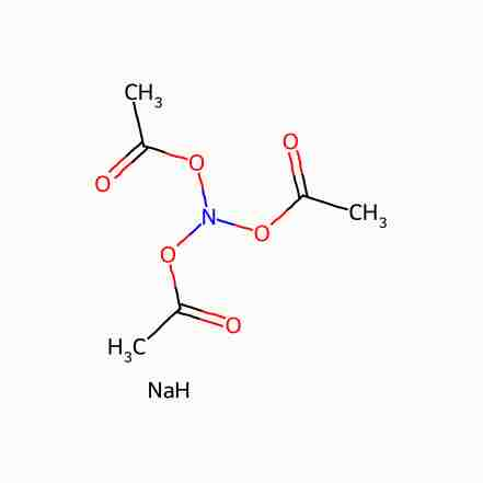 CC(=O)ON(OC(C)=O)OC(C)=O.[NaH]